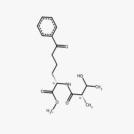 COC(=O)[C@H](CCCC(=O)c1ccccc1)NC(=O)[C@@H](C)C(C)O